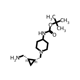 CC(C)(C)OC(=O)NC1CCN(C[C@@H]2C[C@@H]2CN)CC1